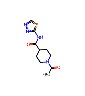 CC(C)(C)C(=O)N1CCC(C(=O)Nc2nncs2)CC1